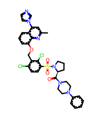 Cc1cc(-n2ccnc2)c2cccc(OCc3c(Cl)ccc(S(=O)(=O)N4CCC[C@H]4C(=O)N4CCN(c5ccccc5)CC4)c3Cl)c2n1